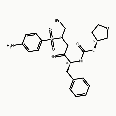 CC(C)CN(CC(=N)[C@H](Cc1ccccc1)NC(=O)O[C@H]1CCOC1)S(=O)(=O)c1ccc(N)cc1